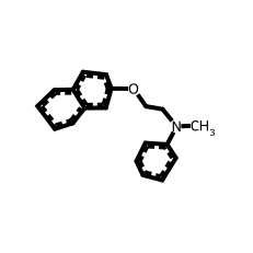 CN(CCOc1ccc2ccccc2c1)c1ccccc1